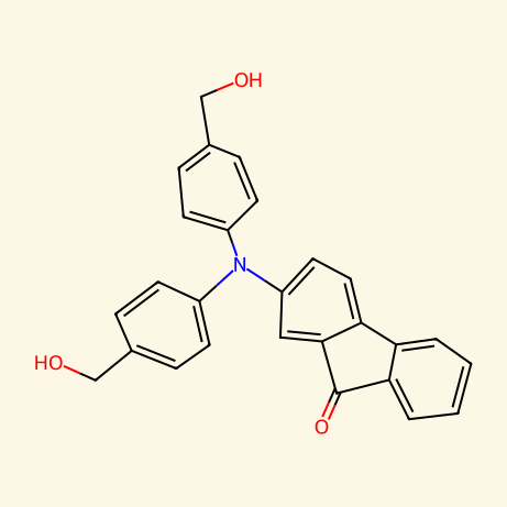 O=C1c2ccccc2-c2ccc(N(c3ccc(CO)cc3)c3ccc(CO)cc3)cc21